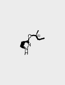 CC[C@H](C)Oc1c#c[nH]n1